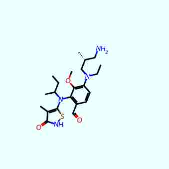 CCC(C)N(c1s[nH]c(=O)c1C)c1c(C=O)ccc(N(CC)C[C@H](C)CN)c1OC